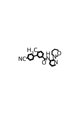 Cc1ccc(C(=O)Nc2cccnc2N2CCCCOC2)cc1-c1ccc(C#N)cc1